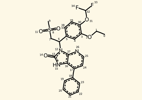 CCOc1cc(C(CS(C)(=O)=O)n2c(=O)[nH]c3c(-c4ccccc4)ccnc32)ccc1OC(F)F